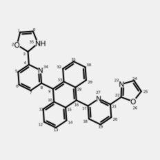 C1=COC(c2cccc(-c3c4ccccc4c(-c4cccc(-c5ncco5)n4)c4ccccc34)n2)N1